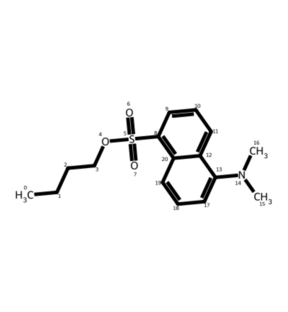 CCCCOS(=O)(=O)c1cccc2c(N(C)C)cccc12